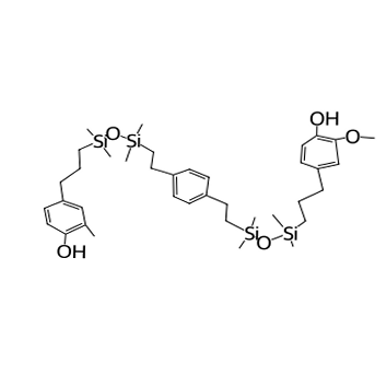 COc1cc(CCC[Si](C)(C)O[Si](C)(C)CCc2ccc(CC[Si](C)(C)O[Si](C)(C)CCCc3ccc(O)c(C)c3)cc2)ccc1O